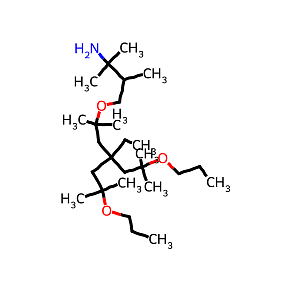 CCCOC(C)(C)CC(CC)(CC(C)(C)OCCC)CC(C)(C)OCC(C)C(C)(C)N